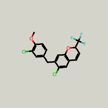 COc1ccc(Cc2cc3c(cc2Cl)C=CC(C(F)(F)F)O3)cc1Cl